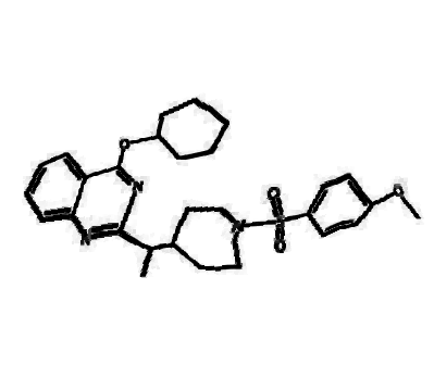 COc1ccc(S(=O)(=O)N2CCC(C(C)c3nc(OC4CCCCC4)c4ccccc4n3)CC2)cc1